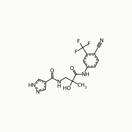 CC(O)(CNC(=O)c1cn[nH]c1)C(=O)Nc1ccc(C#N)c(C(F)(F)F)c1